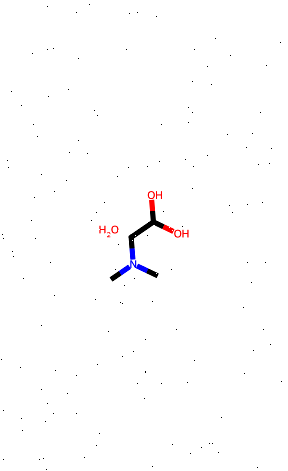 CN(C)CC(O)O.O